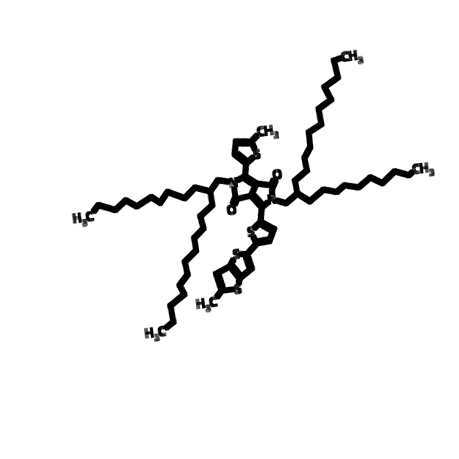 CCCCCCCCCCCCC(CCCCCCCCCC)CN1C(=O)C2=C(c3ccc(-c4cc5sc(C)cc5s4)s3)N(CC(CCCCCCCCCC)CCCCCCCCCCCC)C(=O)C2=C1c1ccc(C)s1